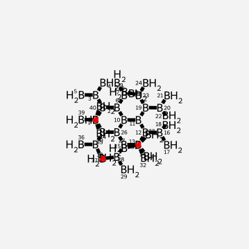 BBB(B(B)B)B(B(B)B)B(B(B(B(B)B)B(B)B)B(B(B)B)B(B)B)B(B(B(B)B)B(B)B)B(B(B)B)B(B)B